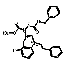 CC(C)(C)OC(=O)N(NC(=O)OCc1ccccc1)N(Cc1ccccc1Cl)C[C@@H](O)CCc1ccccc1